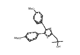 COc1ccc(-c2nc(CC(C)(C)O)sc2-c2ccc(OC)cc2)cc1